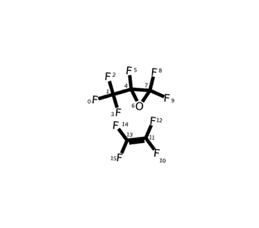 FC(F)(F)C1(F)OC1(F)F.FC(F)=C(F)F